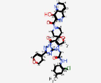 C[C@H]1OC2(CCN(C(=O)c3ncc4cccnc4c3O)CC2)c2c1n(CC(=O)Nc1ccc(C(F)(F)F)cc1Cl)c1nc(C3=CCOCC3)nn1c2=O